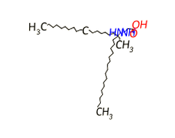 CCCCCCCCCCCCCCCCCCC(CC)(CCCCCCCCCCCCCCCCCC)NNCC(=O)O